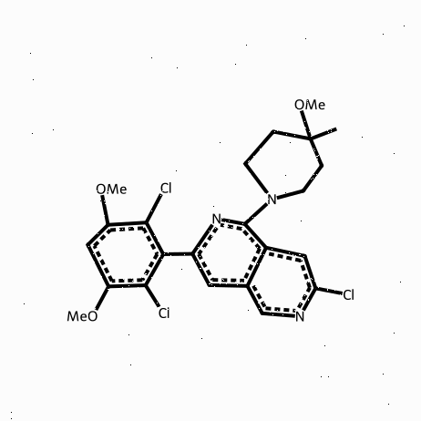 COc1cc(OC)c(Cl)c(-c2cc3cnc(Cl)cc3c(N3CCC(C)(OC)CC3)n2)c1Cl